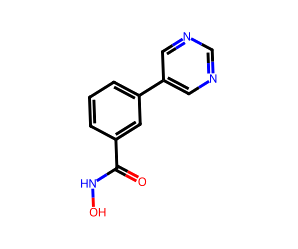 O=C(NO)c1cccc(-c2cncnc2)c1